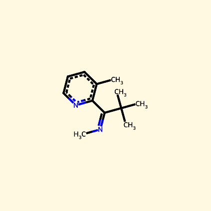 C/N=C(\c1ncccc1C)C(C)(C)C